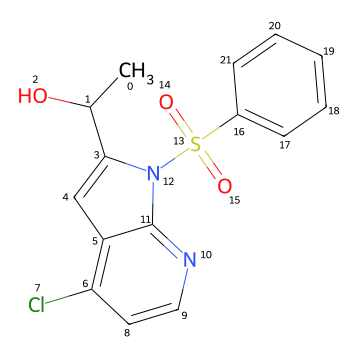 CC(O)c1cc2c(Cl)ccnc2n1S(=O)(=O)c1ccccc1